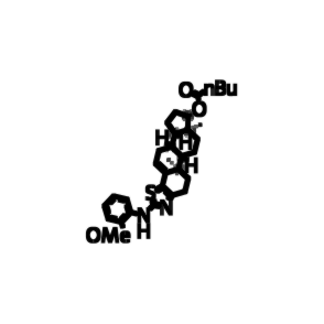 CCCCC(=O)O[C@H]1CC[C@H]2[C@@H]3CC=C4c5sc(Nc6ccccc6OC)nc5CC[C@]4(C)[C@H]3CC[C@]12C